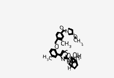 CO[C@H]1CCN(C(=O)c2ccc(COc3ccc(C)cc3-c3csc(N4C[C@H]5CC[C@@H](C4)[C@H]5C(=O)O)n3)c(C)c2)C1